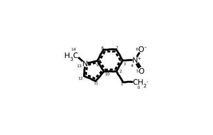 [CH2]Cc1c([N+](=O)[O-])ccc2c1ccn2C